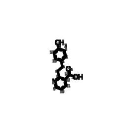 Cc1ccc(CCc2ncccc2C(=O)O)cc1